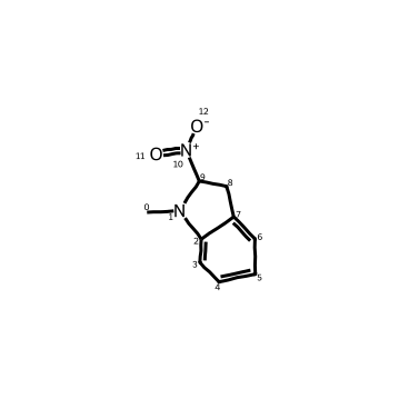 CN1c2ccccc2CC1[N+](=O)[O-]